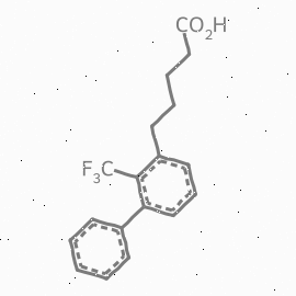 O=C(O)CCCCc1cccc(-c2ccccc2)c1C(F)(F)F